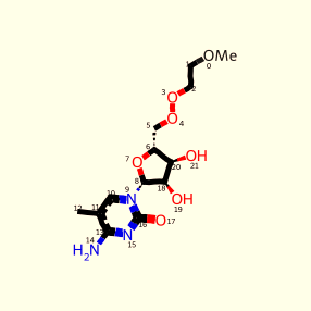 COCCOOC[C@H]1O[C@@H](n2cc(C)c(N)nc2=O)[C@H](O)[C@@H]1O